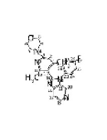 Cc1cc(N2CCOCC2)nc(C)c1-c1nc2ccncc2n1-c1ccc(F)cc1